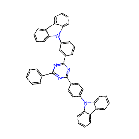 c1ccc(-c2nc(-c3ccc(-n4c5ccccc5c5ccccc54)cc3)nc(-c3cccc(-n4c5ccccc5c5ccccc54)c3)n2)cc1